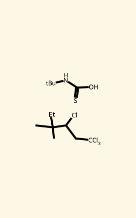 CC(C)(C)NC(O)=S.CCC(C)(C)C(Cl)CC(Cl)(Cl)Cl